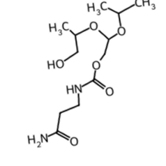 CC(C)OC(COC(=O)NCCC(N)=O)OC(C)CO